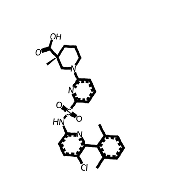 Cc1cccc(C)c1-c1nc(NS(=O)(=O)c2cccc(N3CCC[C@@](C)(C(=O)O)C3)n2)ccc1Cl